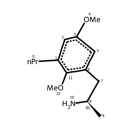 CCCc1cc(OC)cc(C[C@@H](C)N)c1OC